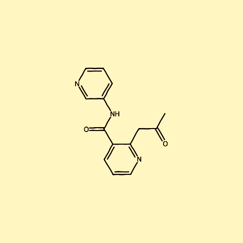 CC(=O)Cc1ncccc1C(=O)Nc1cccnc1